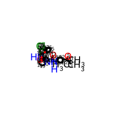 CC(C)(C)C(=O)c1ccc(NC(=O)[C@@H]2NC3(CCCCC3)[C@@]3(C(=O)Nc4cc(Cl)ccc43)[C@H]2c2cccc(Cl)c2F)cc1